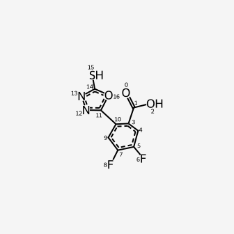 O=C(O)c1cc(F)c(F)cc1-c1nnc(S)o1